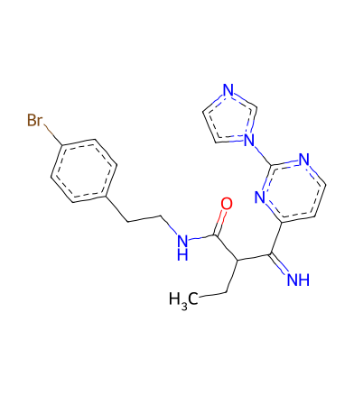 CCC(C(=N)c1ccnc(-n2ccnc2)n1)C(=O)NCCc1ccc(Br)cc1